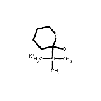 C[Si](C)(C)C1([O-])CCCCO1.[K+]